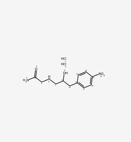 Cl.Cl.NC(=O)CNCC(O)Cc1ccc([N+](=O)[O-])cc1